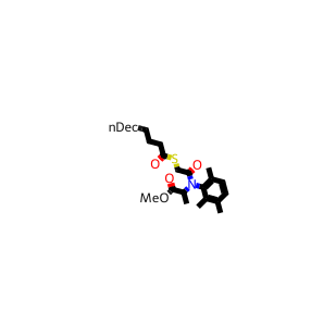 CCCCCCCCCCCCCC(=O)SCC(=O)N(c1c(C)ccc(C)c1C)C(C)C(=O)OC